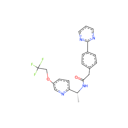 C[C@@H](NC(=O)Cc1ccc(-c2ncccn2)cc1)c1ccc(OCC(F)(F)F)cn1